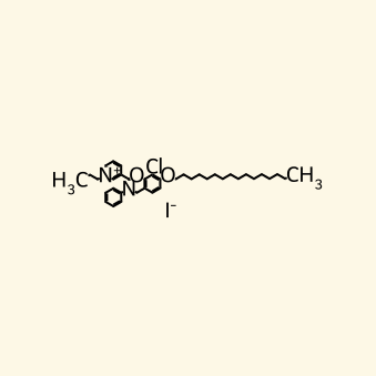 CCCCCCCCCCCCCCCCOc1ccc(CN(C(=O)c2ccc[n+](CCC)c2)c2ccccc2)cc1Cl.[I-]